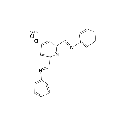 C(=Nc1ccccc1)c1cccc(C=Nc2ccccc2)n1.[Cl-].[Cl-].[V+2]